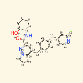 O=C(N[C@H]1CCCC[C@@H]1O)c1cc(Cc2ccc(Cc3ccnc(F)c3)cc2)c2cccn2n1